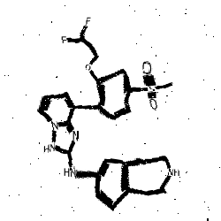 CS(=O)(=O)c1ccc(C2=CC=CN3NC(Nc4ccc5c(c4)CCNCC5)N=C23)c(OCC(F)F)c1